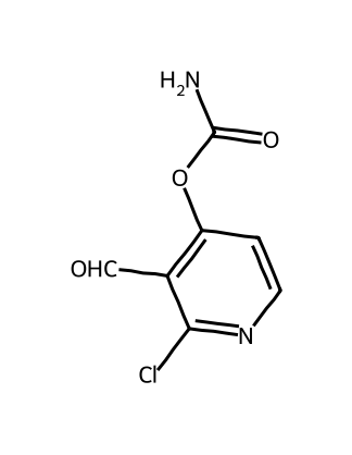 NC(=O)Oc1ccnc(Cl)c1C=O